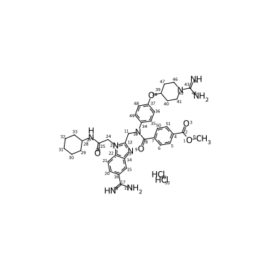 COC(=O)c1ccc(C(=O)N(Cc2nc3cc(C(=N)N)ccc3n2CC(=O)NC2CCCCC2)c2ccc(OC3CCN(C(=N)N)CC3)cc2)cc1.Cl.Cl